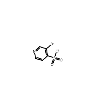 O=S(=O)(Cl)c1ccncc1Br